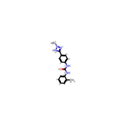 CCCCn1nc(-c2ccc(NC(=O)Nc3ccccc3C)cc2)[nH]1